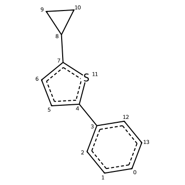 c1ccc(-c2ccc(C3CC3)s2)cc1